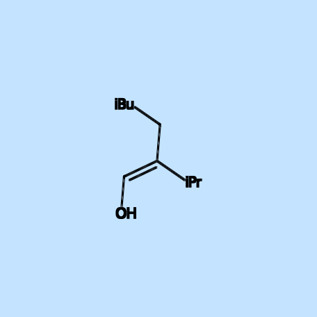 CCC(C)CC(=CO)C(C)C